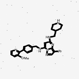 COc1cccnc1-c1ccc(CNc2cc(NCC3CCNCC3)nc3c(C(C)C)cnn23)cc1